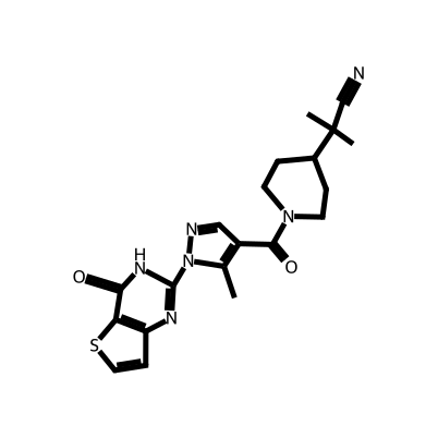 Cc1c(C(=O)N2CCC(C(C)(C)C#N)CC2)cnn1-c1nc2ccsc2c(=O)[nH]1